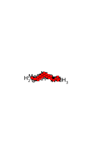 C=CC(=O)N1CCC(Nc2cc3c(Nc4ccc(Oc5ccnc(N6CCCN(C)CC6)c5)cc4F)ncnc3cc2OC)CC1